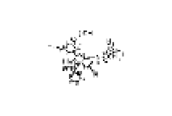 CCc1cc(OCCO)c(F)c(C(Nc2ccc(C#N)c(CNC(=O)OC(C)(C)C)c2)c2nn(-c3ncccn3)c(=O)[nH]2)c1